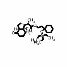 CC[Si](CC)(CC)OC1(CCOC(=O)[C@@H](C)[C@H]2CC[C@H]3C(=O)CCC[C@@]23C)CCCCC1